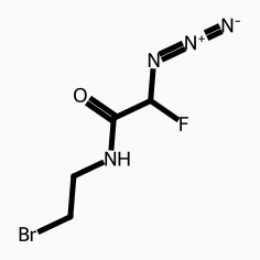 [N-]=[N+]=NC(F)C(=O)NCCBr